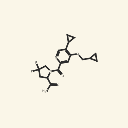 NC(=O)C1CC(F)(F)CN1C(=O)c1cc(OCC2CC2)c(C2CC2)cn1